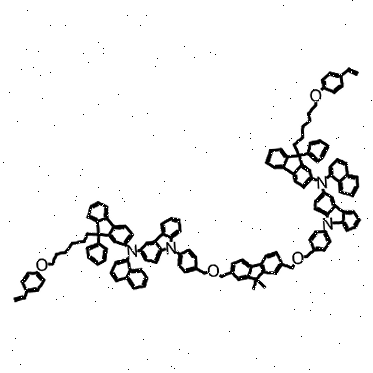 C=Cc1ccc(OCCCCCCC2(c3ccccc3)c3ccccc3-c3ccc(N(c4ccc5c(c4)c4ccccc4n5-c4ccc(COCc5ccc6c(c5)C(C)(C)c5cc(COCc7ccc(-n8c9ccccc9c9cc(N(c%10ccc%11c(c%10)C(CCCCCCOc%10ccc(C=C)cc%10)(c%10ccccc%10)c%10ccccc%10-%11)c%10cccc%11ccccc%10%11)ccc98)cc7)ccc5-6)cc4)c4cccc5ccccc45)cc32)cc1